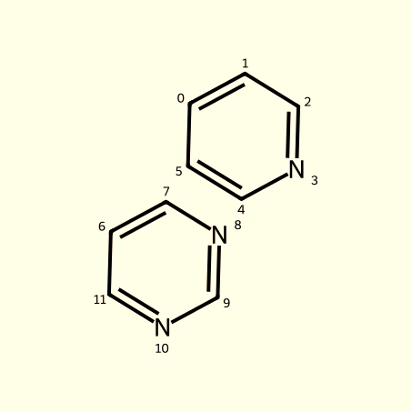 c1ccncc1.c1cncnc1